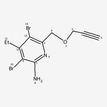 C#CCOCc1nc(N)c(Br)c(CC)c1Br